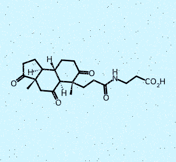 C[C@]1(CCC(=O)NCCC(=O)O)C(=O)CC[C@@H]2[C@@H]1C(=O)C[C@]1(C)C(=O)CC[C@@H]21